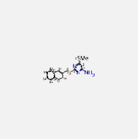 CSc1cc(N)nc(SCC2=Cc3ccccc3CC2)n1